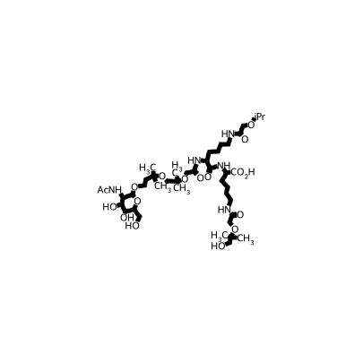 CC(=O)NC1C(OCCC(C)(C)OCC(C)(C)OCC(=O)NC(CCCCNC(=O)COC(C)C)C(=O)NC(CCCCNC(=O)COC(C)(C)CO)C(=O)O)OC(CO)C(O)C1O